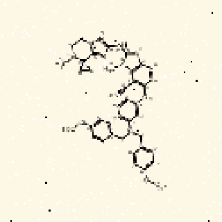 COc1ccc(CN(Cc2ccc(OC)cc2)c2cc(Oc3cnc4nc(Nc5cc6n(n5)CCN(C)C65CC5)n(C)c4c3C#N)ccn2)cc1